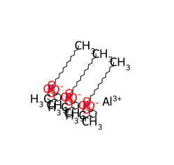 CCCCCCCCCCCCCCOP(=O)([O-])Oc1ccccc1C(C)C.CCCCCCCCCCCCCCOP(=O)([O-])Oc1ccccc1C(C)C.CCCCCCCCCCCCCCOP(=O)([O-])Oc1ccccc1C(C)C.[Al+3]